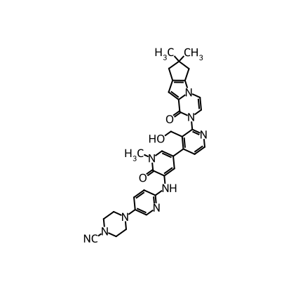 Cn1cc(-c2ccnc(-n3ccn4c5c(cc4c3=O)CC(C)(C)C5)c2CO)cc(Nc2ccc(N3CCN(C#N)CC3)cn2)c1=O